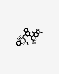 CC[C@@H]1CN(Cc2cc(C(CC(=O)O)c3ccc4c(nnn4C)c3C)cc3c2CCC3)S(=O)(=O)c2ccccc2O1